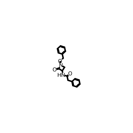 O=C(Cc1ccccc1)NC1CN(OCc2ccccc2)C1=O